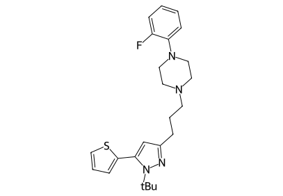 CC(C)(C)n1nc(CCCN2CCN(c3ccccc3F)CC2)cc1-c1cccs1